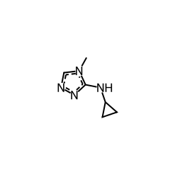 Cn1cnnc1NC1CC1